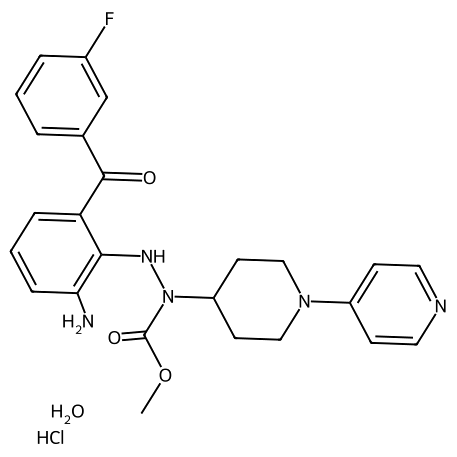 COC(=O)N(Nc1c(N)cccc1C(=O)c1cccc(F)c1)C1CCN(c2ccncc2)CC1.Cl.O